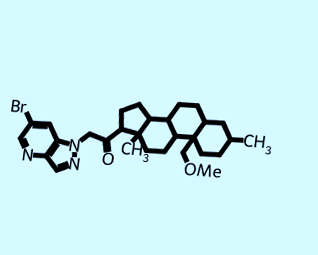 COCC12CCC(C)CC1CCC1C3CCC(C(=O)Cn4ncc5ncc(Br)cc54)C3(C)CCC12